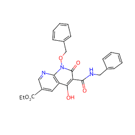 CCOC(=O)c1cnc2c(c1)c(O)c(C(=O)NCc1ccccc1)c(=O)n2OCc1ccccc1